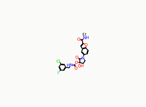 CCNC(=O)c1cc2cc(N3CC[C@@](O)(OC(=O)NCc4cc(F)cc(Cl)c4)C3=O)ccc2o1